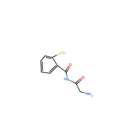 NCC(=O)NC(=O)c1ccccc1S